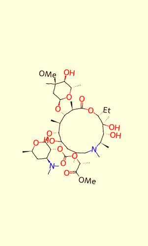 CC[C@H]1OC(=O)[C@H](C)[C@@H](O[C@H]2C[C@@](C)(OC)[C@@H](O)[C@H](C)O2)[C@H](C)[C@@H](O[C@@H]2O[C@H](C)C[C@H](N(C)C)[C@H]2OC(=O)O[C@H](C)C(=O)OC)[C@](C)(O)C[C@@H](C)CN(C)[C@H](C)[C@@H](O)[C@]1(C)O